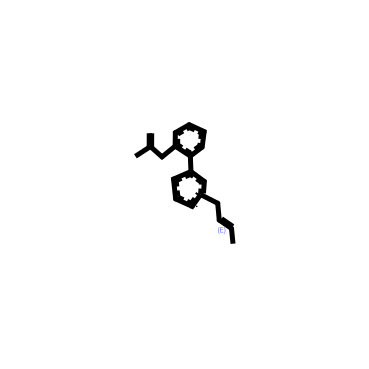 C=C(C)Cc1ccccc1-c1cc[c]c(C/C=C/C)c1